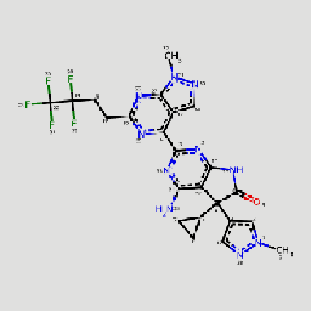 Cn1cc(C2(C3CC3)C(=O)Nc3nc(-c4nc(CCC(F)(F)C(F)(F)F)nc5c4cnn5C)nc(N)c32)cn1